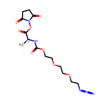 C[C@H](NC(=O)OCCOCCOCCN=[N+]=[N-])C(=O)ON1C(=O)CCC1=O